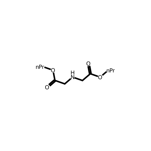 CCCOC(=O)CNCC(=O)OCCC